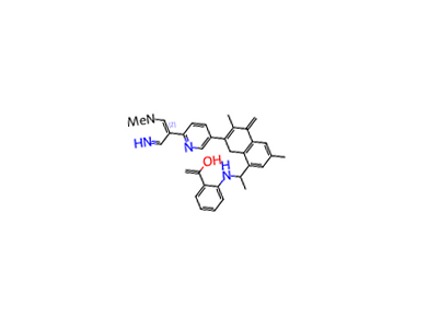 C=C(O)c1ccccc1NC(C)c1cc(C)cc2c1CC(c1ccc(/C(C=N)=C/NC)nc1)=C(C)C2=C